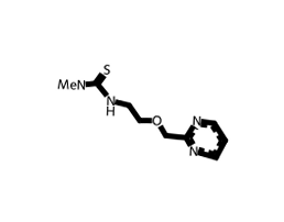 CNC(=S)NCCOCc1ncccn1